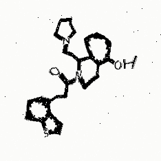 O=C(Cc1cccc2sccc12)N1CCc2c(O)cccc2C1CN1CCCC1